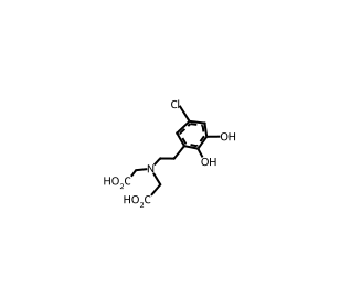 O=C(O)CN(CCc1cc(Cl)cc(O)c1O)CC(=O)O